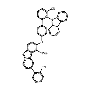 CNc1c(Oc2ccc(-c3cccc(C#N)c3N3c4ccccc4C4C=CC=CC43)cc2)ccc2oc3ccc(-c4ccccc4C#N)cc3c12